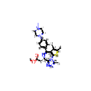 COC(=O)C[C@@H]1N=C(c2ccc(N3CCNCC3)cc2)c2c(sc(C)c2C)-n2c(C)nnc21